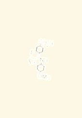 COc1ccc2c(c1)C1C=CCC1C(c1ccc(C(=O)O)cc1F)N2